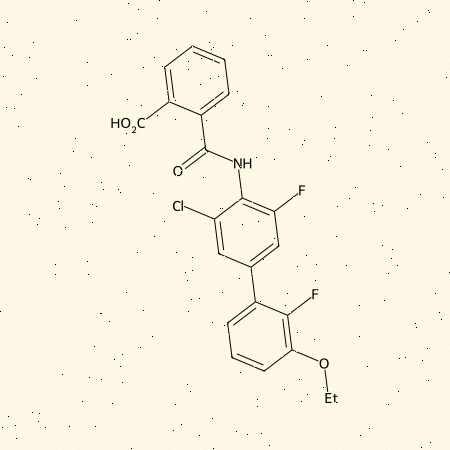 CCOc1cccc(-c2cc(F)c(NC(=O)c3ccccc3C(=O)O)c(Cl)c2)c1F